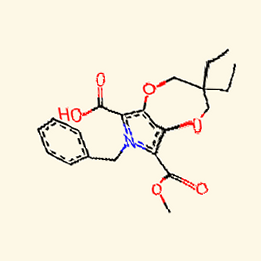 CCC1(CC)COc2c(c(C(=O)OC)n(Cc3ccccc3)c2C(=O)O)OC1